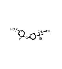 C=CCC(C)(CC)c1ccc(Oc2ccc(C(=O)O)cc2F)cc1